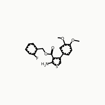 COc1ccc(-c2csc(N)c2C(=O)OCc2ccccc2F)cc1OC